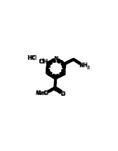 COC(=O)c1ccnc(CN)c1.Cl.Cl